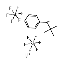 CC(C)(C)[I+]c1ccccc1.[F][Sb-]([F])([F])([F])([F])[F].[F][Sb-]([F])([F])([F])([F])[F].[IH2+]